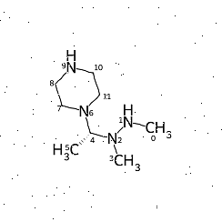 CNN(C)[C@H](C)N1CCNCC1